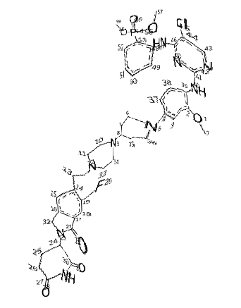 COc1cc(N2CCC(N3CCN(Cc4cc5c(cc4F)C(=O)N(C4CCC(=O)NC4=O)C5)CC3)CC2)ccc1Nc1ncc(Cl)c(Nc2ccccc2P(=O)(OC)OC)n1